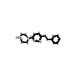 [c]1cccc(CCc2ccc(N3CCNCC3)nn2)c1